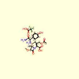 CO[C@@H]1C(=O)N2C(C(=O)O)=C(COC(C)=O)CS[C@@H]12.NC(=O)C(N)c1ccc(O)cc1.O=C(O)C(F)(F)F